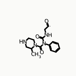 CC1CNCCN1C(=O)N(C(=O)NC[C]=O)c1ccccc1